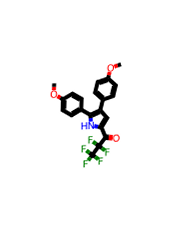 COc1ccc(-c2cc(C(=O)C(F)(F)C(F)(F)F)[nH]c2-c2ccc(OC)cc2)cc1